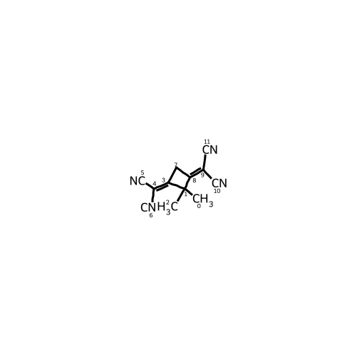 CC1(C)C(=C(C#N)C#N)CC1=C(C#N)C#N